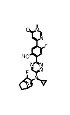 Cn1cnc(-c2cc(O)c(-c3ncc(N(C4CC4)C4CC5CCC(N5)C4F)nn3)cc2F)cc1=O